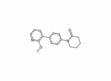 COc1ncccc1-c1ccc(N2CCCCC2=O)cc1